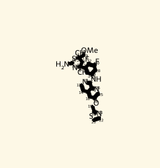 COC[C@@]1(C)C[C@@](C)(c2cc(Nc3nccc4cc(OCc5nccs5)cnc34)cc(F)c2F)N=C(N)S1